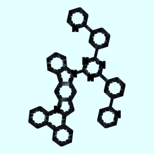 c1ccc(-c2cccc(-c3nc(-c4cccc(-c5ccccn5)c4)nc(-n4c5ccccc5c5cc6c(cc54)cc4c5ccccc5c5ccccc5n64)n3)c2)nc1